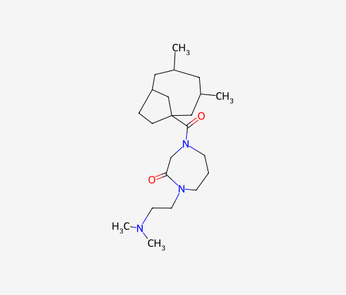 CC1CC(C)CC2(C(=O)N3CCCN(CCN(C)C)C(=O)C3)CCC(C1)C2